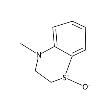 CN1CC[S+]([O-])c2ccccc21